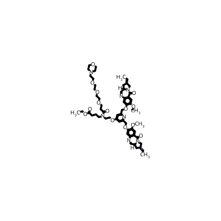 C/C=C1\C[C@H]2C=Nc3cc(OCc4cc(OCCN(CCCC(=O)OCC)C(=O)CCOCCOCCOCCN5CCOCC5)cc(COc5cc6c(cc5OC)C(=O)N5C/C(=C/C)C[C@H]5C=N6)n4)c(OC)cc3C(=O)N2C1